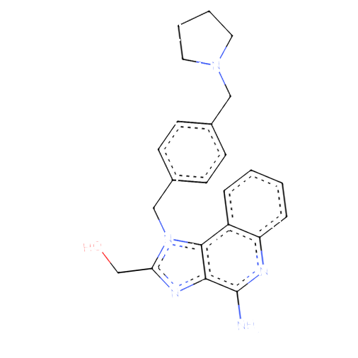 Nc1nc2ccccc2c2c1nc(CO)n2Cc1ccc(CN2CCCC2)cc1